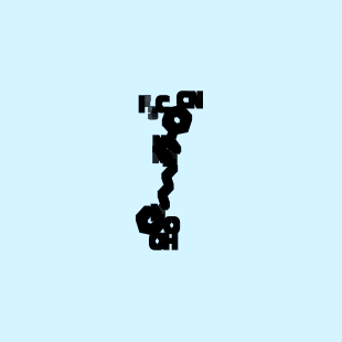 N#Cc1ccc(-c2cn(CCCCCn3cccc(O)c3=O)nn2)cc1C(F)(F)F